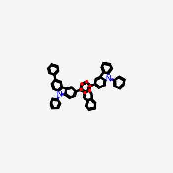 c1ccc(-c2ccc3c(c2)c2cc(-c4ccc(-c5ccc6c(c5)c5ccccc5n6-c5ccccc5)c5c4C4c6ccccc6C5c5ccccc54)ccc2n3-c2ccccc2)cc1